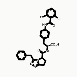 O=C(Nc1ccc(C[C@H](NC(=O)C2CCc3nnc(Cc4ccccc4)n32)C(=O)O)cc1)c1c(Cl)cccc1Cl